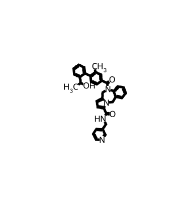 Cc1cc(C(=O)N2Cc3ccc(C(=O)NCc4cccnc4)n3Cc3ccccc32)ccc1-c1ccccc1C(C)O